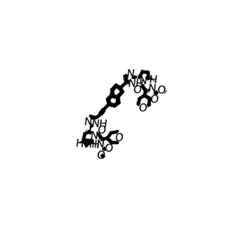 COC(=O)N[C@H](C(=O)N1[C@@H]2C[C@@H]2C[C@H]1c1ncc(C#Cc2ccc3cc(-c4cnc([C@@H]5CC[C@H](C)N5C(=O)[C@@H](NC(=O)OC)C5CCOCC5)[nH]4)ccc3c2)[nH]1)C1CCOCC1